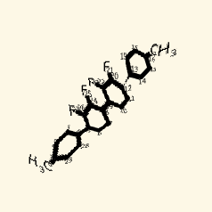 CC1CCC(C2CCC(C3CC[C@@H](C4CCC(C)CC4)C(F)C3F)C(F)C2F)CC1